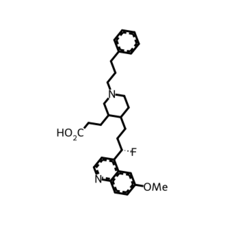 COc1ccc2nccc([C@@H](F)CCC3CCN(CCCc4ccccc4)CC3CCC(=O)O)c2c1